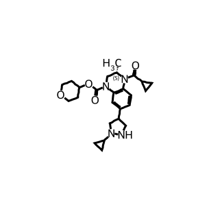 C[C@H]1CN(C(=O)OC2CCOCC2)c2cc(C3CNN(C4CC4)C3)ccc2N1C(=O)C1CC1